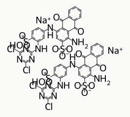 Nc1c(S(=O)(=O)[O-])cc(Nc2ccc(S(=O)(=O)O)c(Nc3nc(Cl)nc(Cl)n3)c2)c2c1C(=O)c1ccccc1C2=O.Nc1c(S(=O)(=O)[O-])cc(Nc2ccc(S(=O)(=O)O)c(Nc3nc(Cl)nc(Cl)n3)c2)c2c1C(=O)c1ccccc1C2=O.[Na+].[Na+]